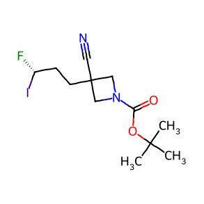 CC(C)(C)OC(=O)N1CC(C#N)(CC[C@@H](F)I)C1